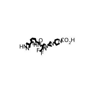 O=C(Nc1cn(C2CN(C3CCN(C(=O)O)CC3)C2)nc1C(F)F)c1cccc(-c2cn[nH]c2)n1